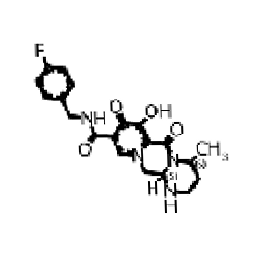 C[C@H]1CCN[C@@H]2Cn3cc(C(=O)NCc4ccc(F)cc4)c(=O)c(O)c3C(=O)N12